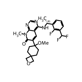 COC1(c2cc3c(N[C@H](C)c4cccc(C(F)F)c4F)ncnc3n(C)c2=O)CCC2(CC1)COC2